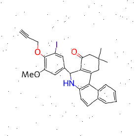 C#CCOc1c(I)cc(C2Nc3ccc4ccccc4c3C3=C2C(=O)CC(C)(C)C3)cc1OC